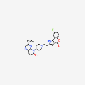 COc1cnc2ccc(=O)n(C3CCN(CCc4cc5c(=O)oc6ccc(F)cc6c5[nH]4)CC3)c2n1